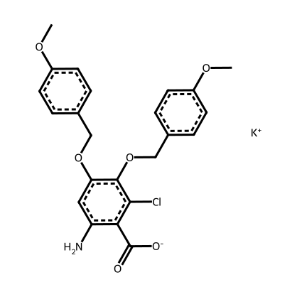 COc1ccc(COc2cc(N)c(C(=O)[O-])c(Cl)c2OCc2ccc(OC)cc2)cc1.[K+]